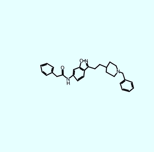 O=C(Cc1ccccc1)Nc1ccc2c(CCC3CCN(Cc4ccccc4)CC3)noc2c1